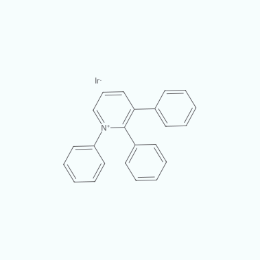 [Ir].c1ccc(-c2ccc[n+](-c3ccccc3)c2-c2ccccc2)cc1